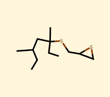 CCC(C)CC(C)(CC)SCC1CS1